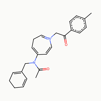 CC(=O)N(CC1=CCCC=C1)C1=CCC=[N+](CC(=O)c2ccc(C)cc2)C=C1